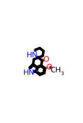 COc1ccc2[nH]cc3c2c1C(=O)C1(CCCCN1)C3